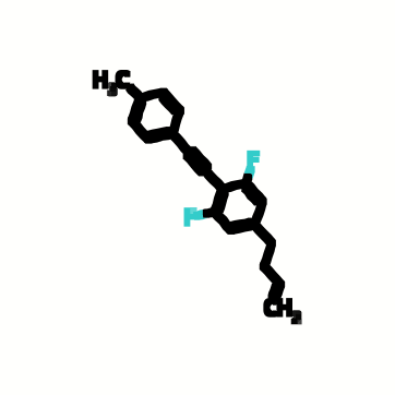 C=CCCc1cc(F)c(C#Cc2ccc(C)cc2)c(F)c1